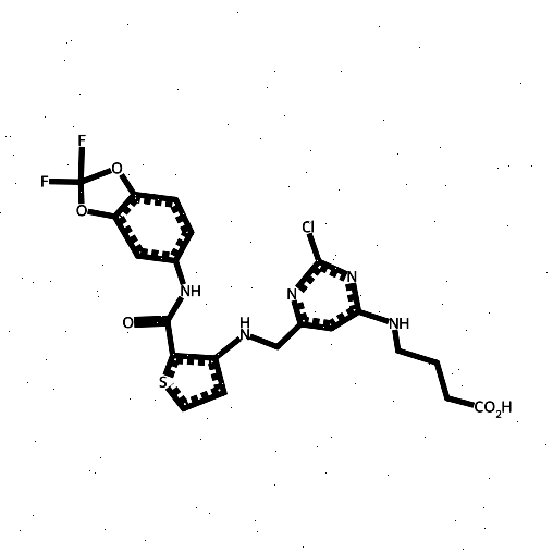 O=C(O)CCCNc1cc(CNc2ccsc2C(=O)Nc2ccc3c(c2)OC(F)(F)O3)nc(Cl)n1